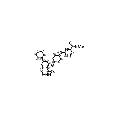 CNC(=O)c1ccnc(NC2CCC(Oc3cc(N4CCOCC4)cc4nc[nH]c(=O)c34)CC2)n1